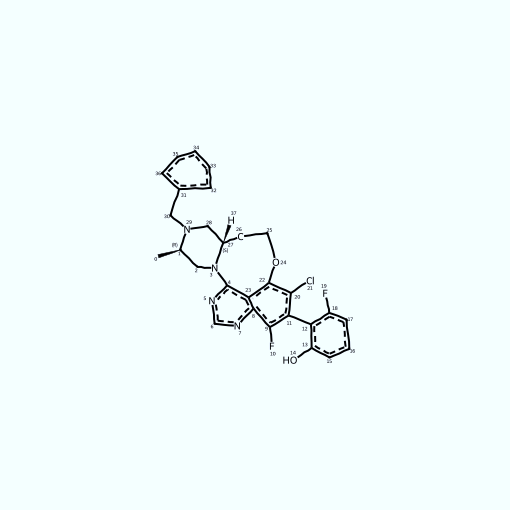 C[C@@H]1CN2c3ncnc4c(F)c(-c5c(O)cccc5F)c(Cl)c(c34)OCC[C@H]2CN1Cc1ccccc1